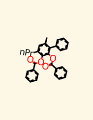 CCCc1cc(C)c(-c2ccccc2)c(OC(=O)c2ccccc2)c1OC(=O)c1ccccc1